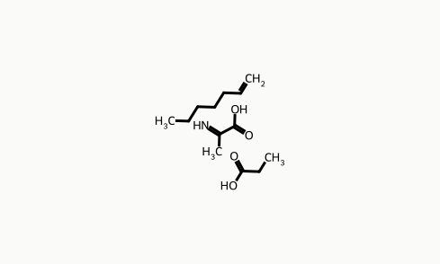 C=CCCCCC.CC(=N)C(=O)O.CCC(=O)O